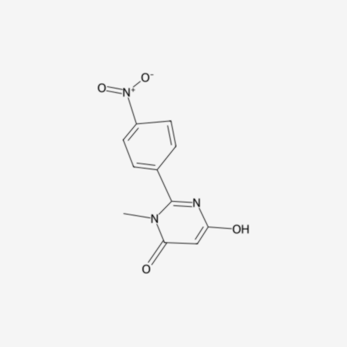 Cn1c(-c2ccc([N+](=O)[O-])cc2)nc(O)cc1=O